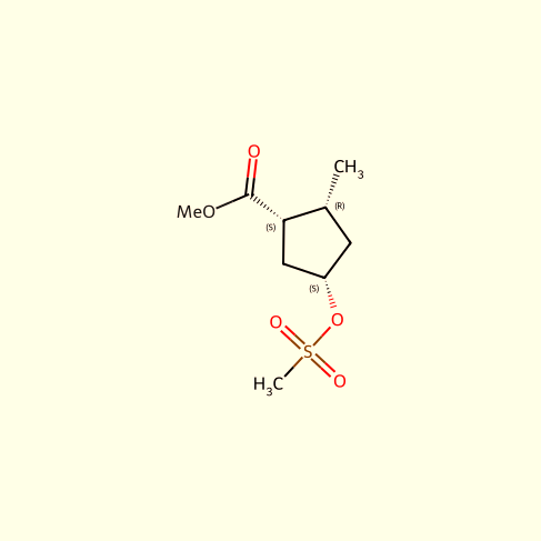 COC(=O)[C@H]1C[C@@H](OS(C)(=O)=O)C[C@H]1C